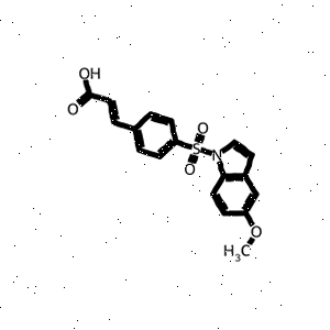 COc1ccc2c(ccn2S(=O)(=O)c2ccc(/C=C/C(=O)O)cc2)c1